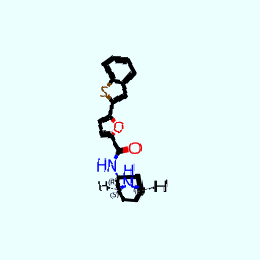 O=C(N[C@@H]1C[C@H]2CC[C@@H]1N2)c1ccc(-c2cc3ccccc3s2)o1